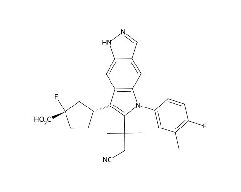 Cc1cc(-n2c(C(C)(C)CC#N)c([C@@H]3CC[C@@](F)(C(=O)O)C3)c3cc4[nH]ncc4cc32)ccc1F